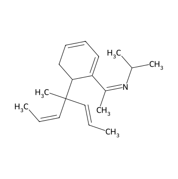 CC=CC(C)(/C=C\C)C1CC=CC=C1/C(C)=N\C(C)C